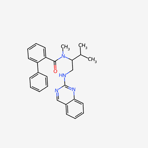 CC(C)C(CNc1ncc2ccccc2n1)N(C)C(=O)c1ccccc1-c1ccccc1